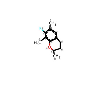 Cc1cc2c(c(C)c1F)OC(C)CC2